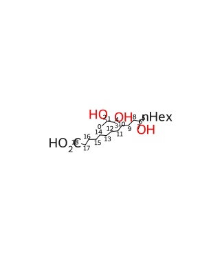 CC(O)CO.CCCCCCC(O)CCCCCCCCCCC(=O)O